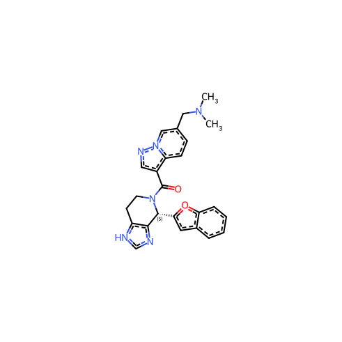 CN(C)Cc1ccc2c(C(=O)N3CCc4[nH]cnc4[C@H]3c3cc4ccccc4o3)cnn2c1